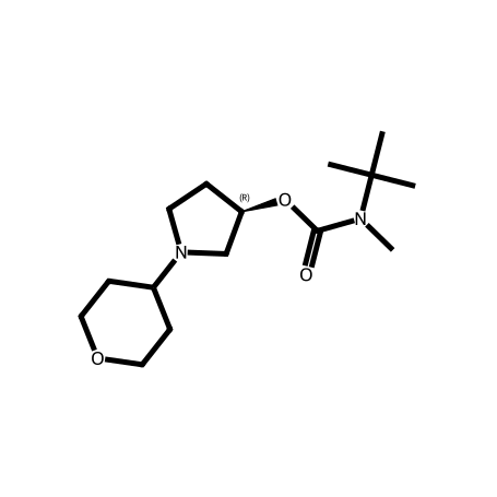 CN(C(=O)O[C@@H]1CCN(C2CCOCC2)C1)C(C)(C)C